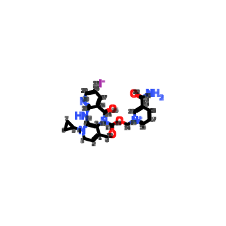 CC1=CCN(C2CC2)C2=C1N(C(=O)OC[n+]1cccc(C(N)=O)c1)C(=O)c1cccnc1N2.[I-]